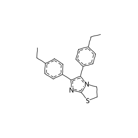 CCc1ccc(-c2nc3n(c2-c2ccc(CC)cc2)CCS3)cc1